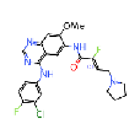 COc1cc2ncnc(Nc3ccc(F)c(Cl)c3)c2cc1NC(=O)/C(F)=C/CN1CCCC1